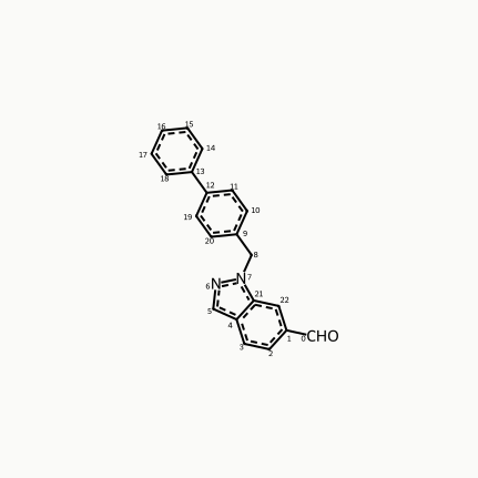 O=Cc1ccc2cnn(Cc3ccc(-c4ccccc4)cc3)c2c1